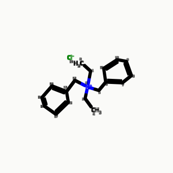 CC[N+](CC)(Cc1ccccc1)Cc1ccccc1.[Cl-]